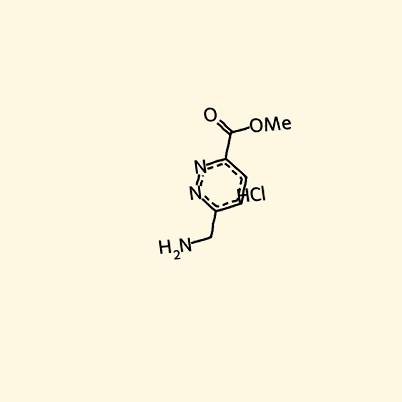 COC(=O)c1ccc(CN)nn1.Cl